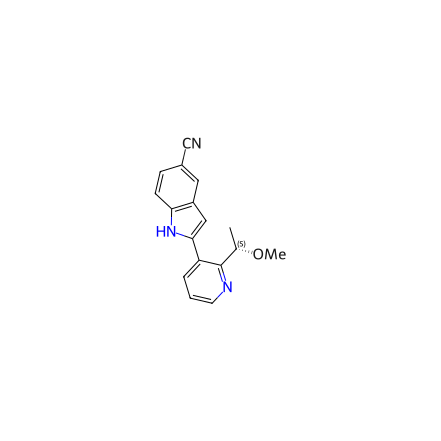 CO[C@@H](C)c1ncccc1-c1cc2cc(C#N)ccc2[nH]1